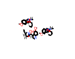 C=C[C@H]1C[N@]2CC[C@H]1C[C@@H]2[C@@H](O)c1ccnc2ccc(OC)cc12.COc1ccc2c(c1)[C@]13CCCC[C@@H]1[C@H](C2)N(C)CC3.COc1ccc2c(c1)[C@]13CCCC[C@@H]1[C@H](C2)N(C)CC3